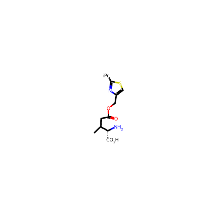 CC(C)c1nc(COC(=O)CC(C)[C@H](N)C(=O)O)cs1